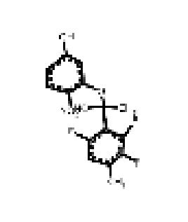 Cc1cc(F)c(C(C)(C#N)Oc2cc(O)ccc2[N+](=O)[O-])c(F)c1F